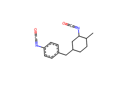 CC1CCC(Cc2ccc(N=C=O)cc2)CC1N=C=O